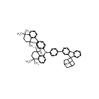 CC1(C)CCC(C)(C)c2c(-c3ccc(N(c4ccc(-c5ccc6c(c5)C5(c7ccccc7-6)C6CC7CC8CC5C86C7)cc4)c4cccc5c4C(C)(C)CCC5(C)C)cc3)cccc21